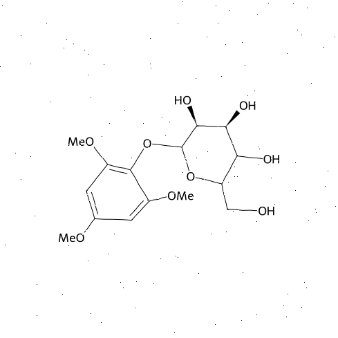 COc1cc(OC)c(OC2OC(CO)C(O)[C@H](O)[C@@H]2O)c(OC)c1